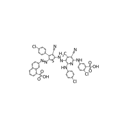 Cc1c(C#N)c(Nc2ccc(Cl)c(S(=O)(=O)O)c2)nc(Nc2ccc(Cl)cc2)c1N=Nc1sc(N=Nc2ccc3cccc(S(=O)(=O)O)c3c2)c(-c2ccc(Cl)cc2)c1C#N